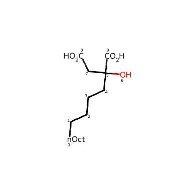 CCCCCCCCCCCCC(O)(CC(=O)O)C(=O)O